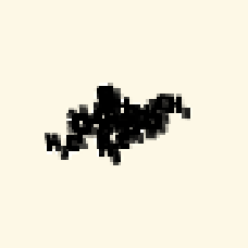 CCc1cccc(C2=CC(C)[C]([Hf+2][C]3=C(C)C(c4cccc(CC)c4)=CC3C)=C2C)c1.[Cl-].[Cl-]